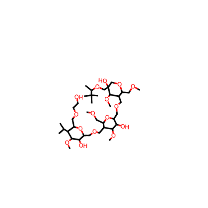 COCC1OC(COCC2C(COC)OCC(O)(COC(C)C(C)(C)C)C2OC)C(O)C(OC)C1COCC1OC(COCCO)C(C(C)C)C(OC)C1O